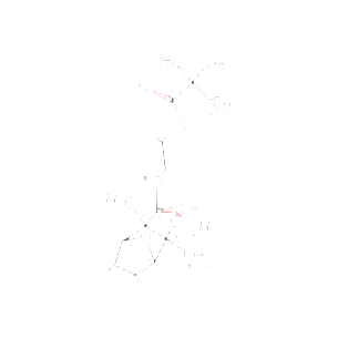 CCC(C)C(C)(C(=O)OCCOC(=O)C1(C)C2CCC(O2)C1(C)C(=O)O)C(C)(C)C